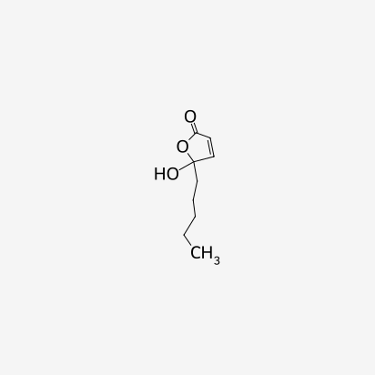 CCCCCC1(O)C=CC(=O)O1